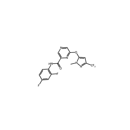 Cn1nc(C(F)(F)F)cc1Oc1cncc(C(=O)Nc2ccc(F)cc2F)n1